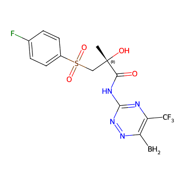 Bc1nnc(NC(=O)[C@@](C)(O)CS(=O)(=O)c2ccc(F)cc2)nc1C(F)(F)F